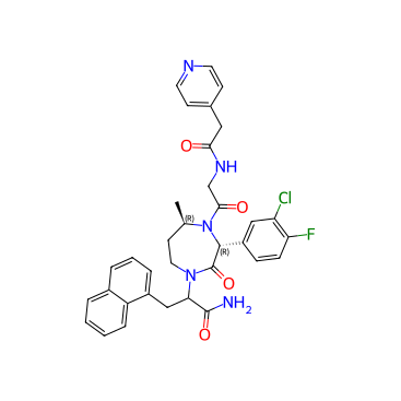 C[C@@H]1CCN(C(Cc2cccc3ccccc23)C(N)=O)C(=O)[C@@H](c2ccc(F)c(Cl)c2)N1C(=O)CNC(=O)Cc1ccncc1